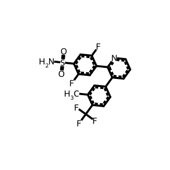 Cc1cc(-c2cccnc2-c2cc(F)c(S(N)(=O)=O)cc2F)ccc1C(F)(F)F